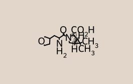 CC1(C)[C@@H]2[C@@H](C(=O)O)N(C(=O)C(N)CC3CCOC3)C[C@@H]21